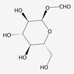 O=CO[C@H]1O[C@H](CO)[C@@H](O)[C@H](O)[C@H]1O